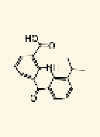 CC(C)c1cccc2c(=O)c3cccc(C(=O)O)c3[nH]c12